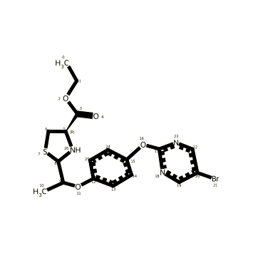 CCOC(=O)[C@@H]1CSC(C(C)Oc2ccc(Oc3ncc(Br)cn3)cc2)N1